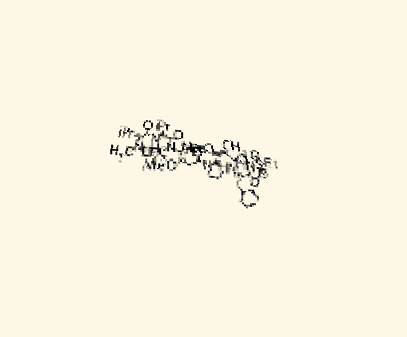 CC[C@H](C)[C@@H]([C@@H](CC(=O)N1CCC[C@H]1[C@H](OC)[C@@H](C)C(=O)N[C@@H](Cc1ccccc1)C(=O)NS(=O)(=O)CC)OC)N(C)C(=O)[C@@H](NC(=O)[C@H](C(C)C)N(C)C)C(C)C